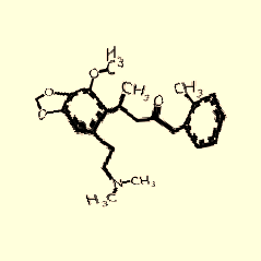 COc1c2c(cc(CCN(C)C)c1C(C)CC(=O)Cc1ccccc1C)OCO2